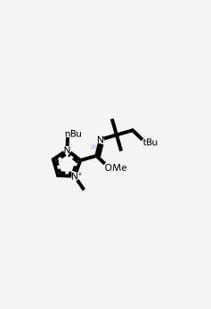 CCCCn1cc[n+](C)c1/C(=N/C(C)(C)CC(C)(C)C)OC